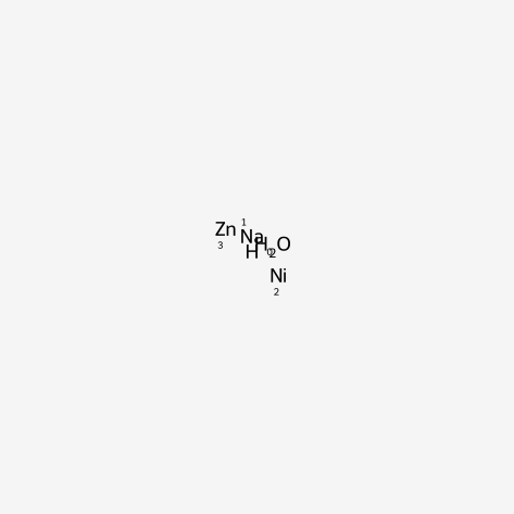 O.[NaH].[Ni].[Zn]